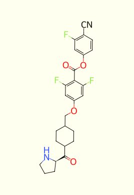 N#Cc1ccc(OC(=O)c2c(F)cc(OCC3CCC(C(=O)[C@H]4CCCN4)CC3)cc2F)cc1F